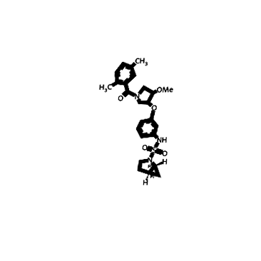 COC1CN(C(=O)c2cc(C)ccc2C)CC1Oc1cccc(NS(=O)(=O)N2CC[C@@H]3C[C@H]32)c1